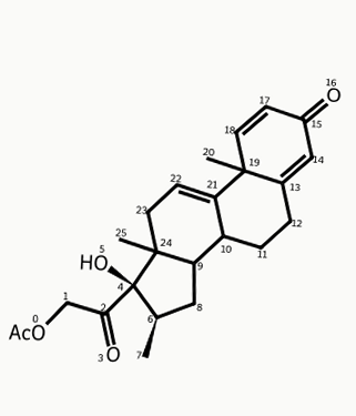 CC(=O)OCC(=O)[C@@]1(O)[C@H](C)CC2C3CCC4=CC(=O)C=CC4(C)C3=CCC21C